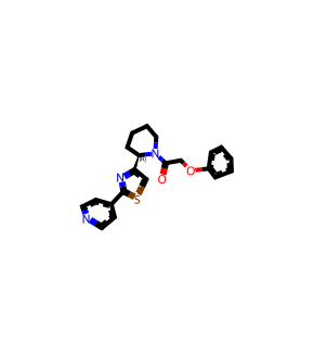 O=C(COc1ccccc1)N1CCCC[C@@H]1c1csc(-c2ccncc2)n1